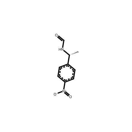 C[C@@H](N[C]=O)c1ccc([N+](=O)[O-])cc1